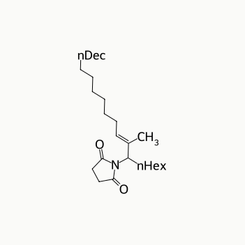 CCCCCCCCCCCCCCCCC=C(C)C(CCCCCC)N1C(=O)CCC1=O